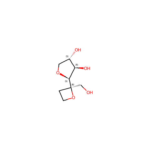 OC[C@@]1([C@H]2OC[C@H](O)[C@H]2O)CCO1